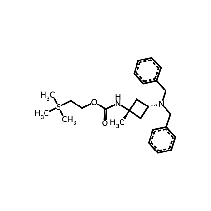 CS(C)(C)CCOC(=O)N[C@]1(C)C[C@H](N(Cc2ccccc2)Cc2ccccc2)C1